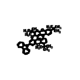 CC(C)(C)c1ccc2c(c1)Oc1cc(C(C)(C)C)c3c4c1N2c1ccc(C(C)(C)C)c2c1P4(=O)c1c(cc(-n4c5ccccc5c5ccccc54)cc1O3)O2